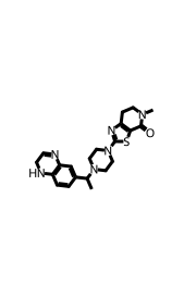 CC(c1ccc2c(c1)N=CCN2)N1CCN(c2nc3c(s2)C(=O)N(C)CC3)CC1